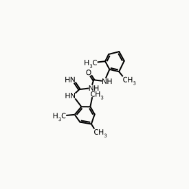 Cc1cc(C)c(NC(=N)NC(=O)Nc2c(C)cccc2C)c(C)c1